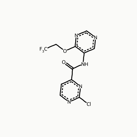 O=C(Nc1cncnc1OCC(F)(F)F)c1ccnc(Cl)n1